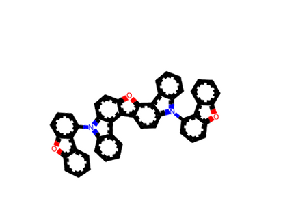 c1ccc2c(c1)oc1cccc(-n3c4ccccc4c4c5oc6ccc7c(c8ccccc8n7-c7cccc8oc9ccccc9c78)c6c5ccc43)c12